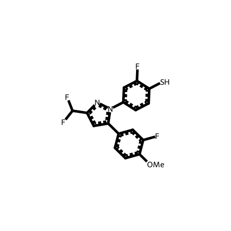 COc1ccc(-c2cc(C(F)F)nn2-c2ccc(S)c(F)c2)cc1F